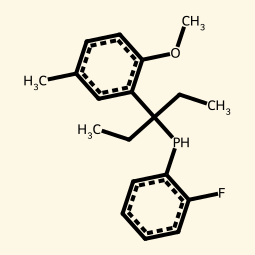 CCC(CC)(Pc1ccccc1F)c1cc(C)ccc1OC